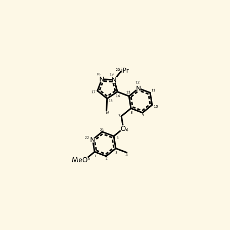 COc1cc(C)c(OCc2cccnc2-c2c(C)cnn2C(C)C)cn1